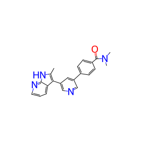 Cc1[nH]c2ncccc2c1-c1cncc(-c2ccc(C(=O)N(C)C)cc2)c1